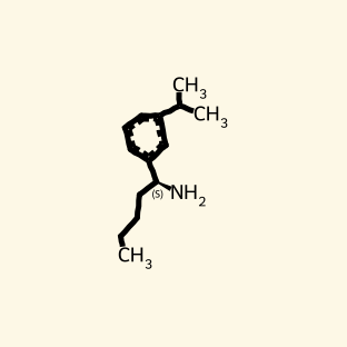 CCCC[C@H](N)c1cccc(C(C)C)c1